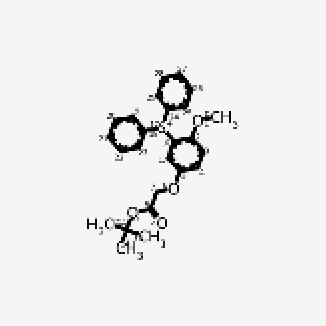 COc1ccc(OCC(=O)OC(C)(C)C)cc1[S+](c1ccccc1)c1ccccc1